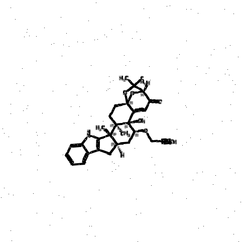 C#CCO[C@H]1C[C@H]2Cc3c([nH]c4ccccc34)[C@]2(C)[C@@]2(C)CC[C@@]34O[C@@H](C(=O)C=C3[C@]12O)C(C)(C)O4